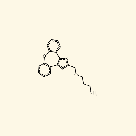 NCCCOCc1cc2c(s1)-c1ccccc1Oc1ccccc1-2